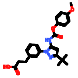 COc1ccc(OC(=O)Nc2cc(C(C)(C)C)nn2-c2cccc(CCC(=O)O)c2)cc1